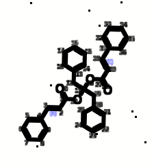 O=C(/C=C/c1ccccc1)OC(Cc1ccccc1)(Cc1ccccc1)OC(=O)/C=C/c1ccccc1